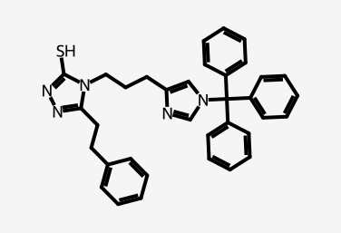 Sc1nnc(CCc2ccccc2)n1CCCc1cn(C(c2ccccc2)(c2ccccc2)c2ccccc2)cn1